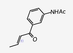 C/C=C/C(=O)c1cccc(NC(C)=O)c1